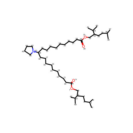 CC(C)CCC(COC(=O)CCCCCCCCCC(CCCCCCCCCC(=O)OCC(CCC(C)C)C(C)C)N1CCCC1)C(C)C